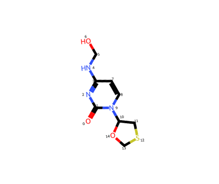 O=c1nc(NCO)ccn1C1CSCO1